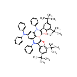 CC(C)(C)c1cc(C(C)(C)C)c2oc3c(c2c1)N(c1ccccc1)c1cc(N(c2ccccc2)c2ccccc2)cc2c1B3c1oc3c(C(C)(C)C)cc(C(C)(C)C)cc3c1N2c1ccccc1